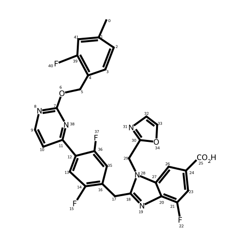 Cc1ccc(COc2nccc(-c3cc(F)c(Cc4nc5c(F)cc(C(=O)O)cc5n4Cc4ncco4)cc3F)n2)c(F)c1